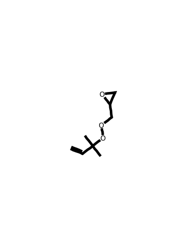 C=CC(C)(C)OOCC1CO1